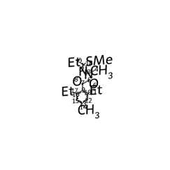 CCC(=NN(C)C(=O)C(=O)c1c(CC)cc(C)cc1CC)SC